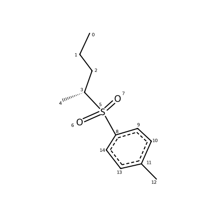 CCC[C@@H](C)S(=O)(=O)c1ccc(C)cc1